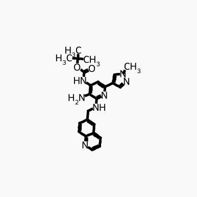 Cn1cc(-c2cc(NC(=O)OC(C)(C)C)c(N)c(NCc3ccc4ncccc4c3)n2)cn1